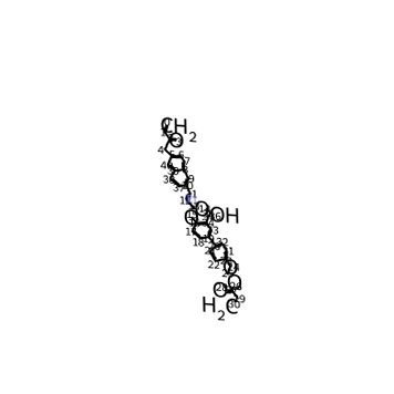 C=CC(=O)Cc1ccc2cc(/C=C/C(=O)Oc3ccc(-c4ccc(OCOC(=O)C=C)cc4)cc3CO)ccc2c1